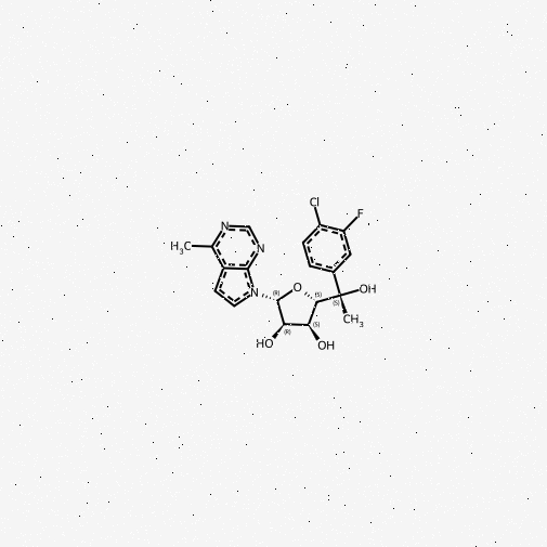 Cc1ncnc2c1ccn2[C@@H]1O[C@H]([C@@](C)(O)c2ccc(Cl)c(F)c2)[C@@H](O)[C@H]1O